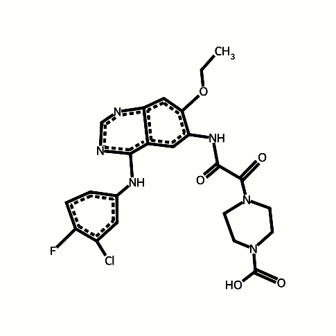 CCOc1cc2ncnc(Nc3ccc(F)c(Cl)c3)c2cc1NC(=O)C(=O)N1CCN(C(=O)O)CC1